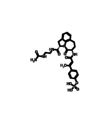 C/C(=C\C(=O)N[C@H]1CCc2cccc3c2N(C1=O)[C@H](C(=O)NCCNC(N)=O)C3)c1ccc(OP(=O)(O)O)cc1